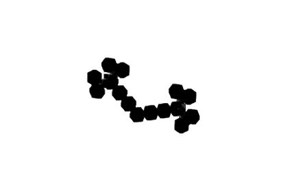 c1cc(-c2ccc(-c3ccc(-c4cc(-n5c6ccccc6c6ccccc65)nc(-n5c6ccccc6c6ccccc65)c4)cc3)cc2)cc(-c2ccc(-c3ccc(-c4cc(-n5c6ccccc6c6ccccc65)nc(-n5c6ccccc6c6ccccc65)c4)cc3)cc2)c1